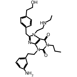 CCCn1c(=O)c2c(nc(Cc3ccc(CCO)cc3)n2CCNCC)n(CCc2cccc(N)c2)c1=O